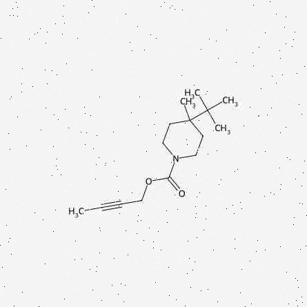 CC#CCOC(=O)N1CCC(C)(C(C)(C)C)CC1